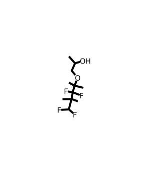 CC(O)COC(C)(C)C(F)(F)C(C)(C)C(F)F